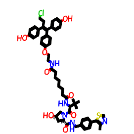 Cc1ncsc1-c1ccc(CNC(=O)[C@@H]2C[C@@H](O)CN2C(=O)C(NC(=O)CCCCCCC(=O)NCCOc2ccc(C(=C(CCCl)c3ccc(O)cc3)c3ccc(O)cc3)cc2)C(C)(C)C)cc1